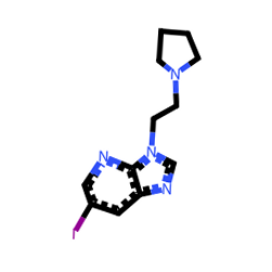 Ic1cnc2c(c1)ncn2CCN1CCCC1